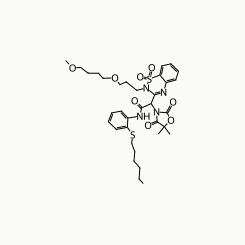 CCCCCCSc1ccccc1NC(=O)C(C1=Nc2ccccc2S(=O)(=O)N1CCCOCCCCOC)N1C(=O)OC(C)(C)C1=O